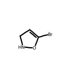 BrC1=[C]CNO1